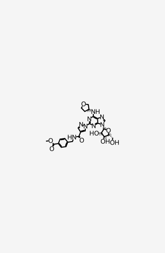 COC(=O)c1ccc(CNC(=O)c2cnn(-c3nc(N[C@@H]4CCOC4)c4ncn([C@@H]5O[C@H](CO)[C@@H](O)[C@@H]5O)c4n3)c2)cc1